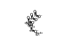 N.N.O=N[O-].O=N[O-].O=N[O-].O=N[O-].[Pt+4]